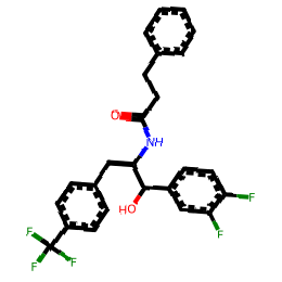 O=C(CCc1ccccc1)NC(Cc1ccc(C(F)(F)F)cc1)C(O)c1ccc(F)c(F)c1